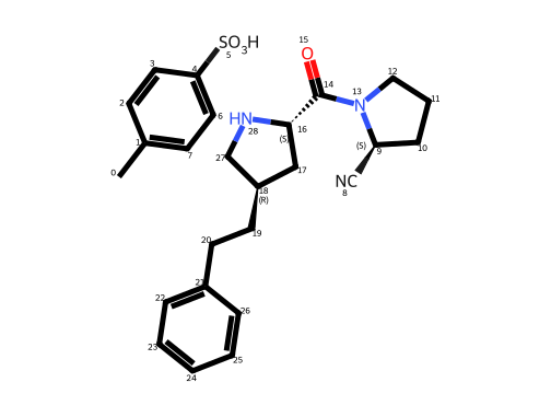 Cc1ccc(S(=O)(=O)O)cc1.N#C[C@@H]1CCCN1C(=O)[C@@H]1C[C@@H](CCc2ccccc2)CN1